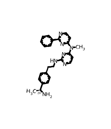 C[C@H](N)c1ccc(CCNc2nccc(N(C)c3ccnc(-c4ccccc4)n3)n2)cc1